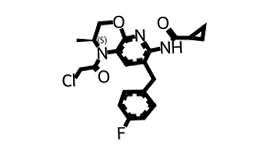 C[C@H]1COc2nc(NC(=O)C3CC3)c(Cc3ccc(F)cc3)cc2N1C(=O)CCl